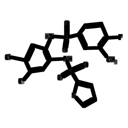 Cc1cc(S(=O)(=O)Nc2cc(Cl)c(Cl)cc2NS(=O)(=O)c2cccs2)ccc1F